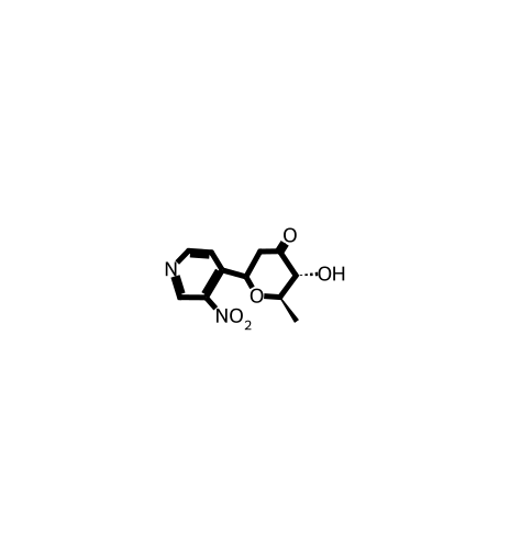 C[C@H]1OC(c2ccncc2[N+](=O)[O-])CC(=O)[C@@H]1O